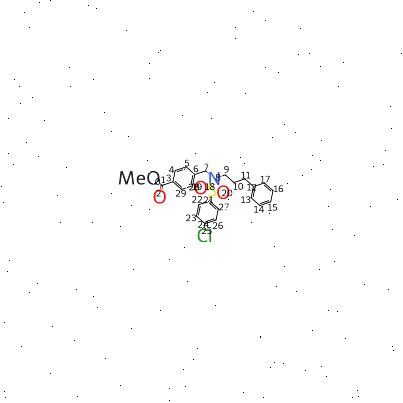 COC(=O)c1ccc(CN(CCCc2ccccc2)S(=O)(=O)c2ccc(Cl)cc2)cc1